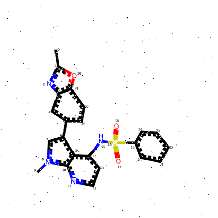 Cc1nc2cc(-c3cn(C)c4nccc(NS(=O)(=O)c5ccccc5)c34)ccc2o1